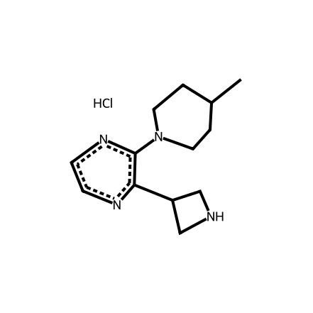 CC1CCN(c2nccnc2C2CNC2)CC1.Cl